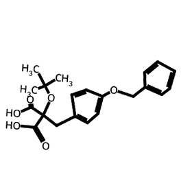 CC(C)(C)OC(Cc1ccc(OCc2ccccc2)cc1)(C(=O)O)C(=O)O